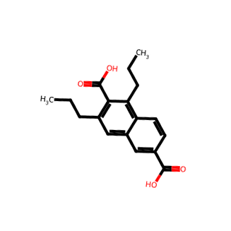 CCCc1cc2cc(C(=O)O)ccc2c(CCC)c1C(=O)O